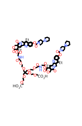 CCc1c2c(nc3ccc(OC(=O)N4CCC(N5CCCCC5)CC4)cc13)-c1cc3c(c(=O)n1C2)COC(=O)C3(CC)OC(=O)CNC(=O)COCCOCC(COCCOCC(=O)O)(COCCOCC(=O)O)COCCOCC(=O)NCC(=O)OC1(CC)C(=O)OCc2c1cc1n(c2=O)Cc2c-1nc1ccc(OC(=O)N3CCC(N4CCCCC4)CC3)cc1c2CC